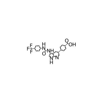 O=C(Nc1ccc(C(F)(F)F)cc1)Nc1c[nH]c2ncc(-c3ccc(C(=O)O)cc3)cc12